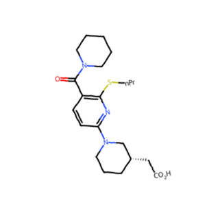 CCCSc1nc(N2CCC[C@@H](CC(=O)O)C2)ccc1C(=O)N1CCCCC1